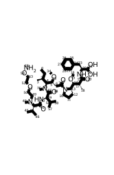 CC[C@H](C)[C@@H]([C@@H](CC(=O)N1CCC[C@H]1[C@H](OC)[C@@H](C)C(=O)N[C@@H](Cc1ccccc1)C(O)O)OC)N(C)C(=O)[C@@H](NC(=O)[C@H](C(C)C)N(C)CCOCCON)C(C)C